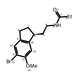 CCC(=O)NCC[C@@H]1CCc2cc(Br)c(OC)cc21